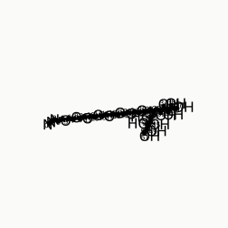 [N-]=[N+]=NCCOCCOCCOCCOCCOCCOCCOCCOCCN(CC(O)C(O)C(O)C(O)CO)C[C@H](O)[C@@H](O)[C@H](O)[C@H](O)CO